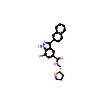 O=C(NC[C@@H]1CCCO1)c1cc(F)c2[nH]nc(-c3ccc4ccccc4c3)c2c1